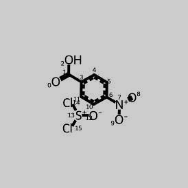 O=C(O)c1ccc([N+](=O)[O-])cc1.[O-][S+](Cl)Cl